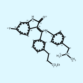 CCOC(=O)CCc1cccc(/C(Nc2ccc(CN(C)C)cc2)=C2/C(=O)Nc3cc(F)ccc32)c1